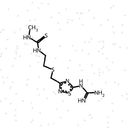 CNC(=S)NCCSCc1nsc(NC(=N)N)n1